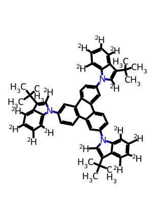 [2H]c1c([2H])c([2H])c2c(c1[2H])c(C(C)(C)C)c([2H])n2-c1ccc2c(c1)c1ccc(-n3c([2H])c(C(C)(C)C)c4c([2H])c([2H])c([2H])c([2H])c43)cc1c1ccc(-n3c([2H])c(C(C)(C)C)c4c([2H])c([2H])c([2H])c([2H])c43)cc21